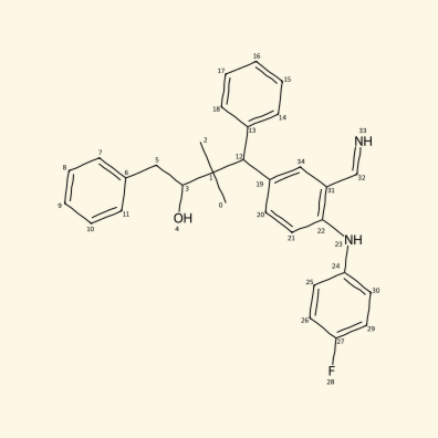 CC(C)(C(O)Cc1ccccc1)C(c1ccccc1)c1ccc(Nc2ccc(F)cc2)c(C=N)c1